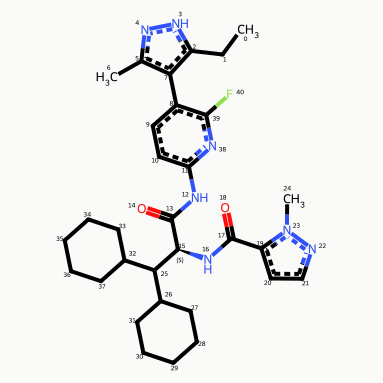 CCc1[nH]nc(C)c1-c1ccc(NC(=O)[C@@H](NC(=O)c2ccnn2C)C(C2CCCCC2)C2CCCCC2)nc1F